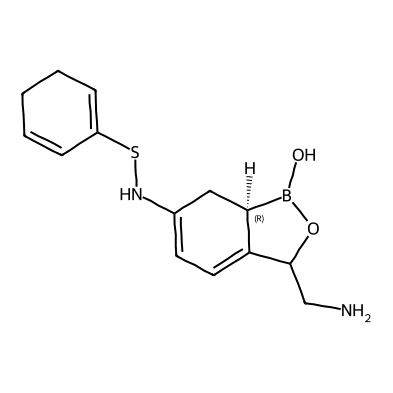 NCC1OB(O)[C@@H]2CC(NSC3=CCCC=C3)=CC=C12